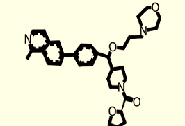 Cc1nccc2cc(-c3ccc(C(OCCCN4CCOCC4)C4CCN(C(=O)[C@H]5CCCO5)CC4)cc3)ccc12